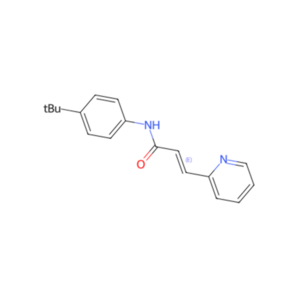 CC(C)(C)c1ccc(NC(=O)/C=C/c2ccccn2)cc1